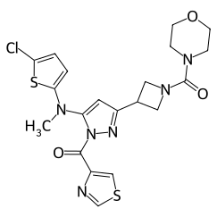 CN(c1ccc(Cl)s1)c1cc(C2CN(C(=O)N3CCOCC3)C2)nn1C(=O)c1cscn1